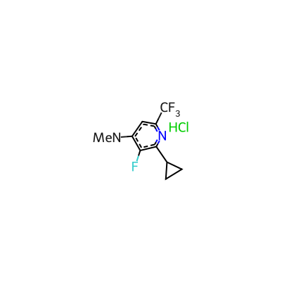 CNc1cc(C(F)(F)F)nc(C2CC2)c1F.Cl